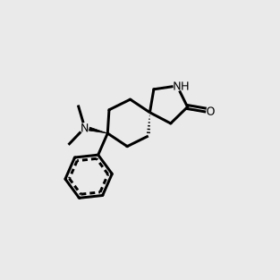 CN(C)[C@]1(c2ccccc2)CC[C@]2(CC1)CNC(=O)C2